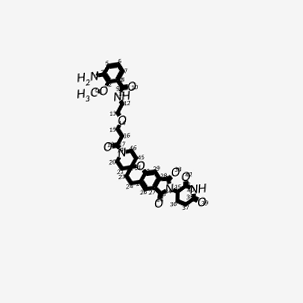 COc1c(N)cccc1C(=O)NCCOCCC(=O)N1CCC2(CCc3cc4c(cc3O2)C(=O)N(C2CCC(=O)NC2=O)C4=O)CC1